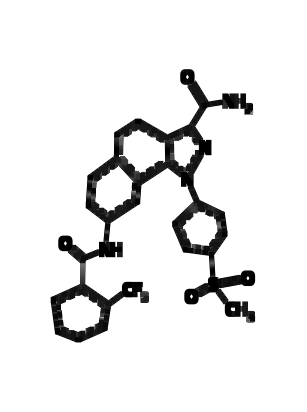 CS(=O)(=O)c1ccc(-n2nc(C(N)=O)c3ccc4ccc(NC(=O)c5ccccc5C(F)(F)F)cc4c32)cc1